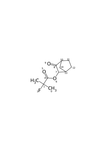 CC(C)(F)C(=O)OC1C(=O)C2CCC1C2